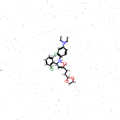 CCN(CC)c1ccc(N2OC(CCC3OCCO3)=CC2c2c(Cl)cccc2Cl)cc1